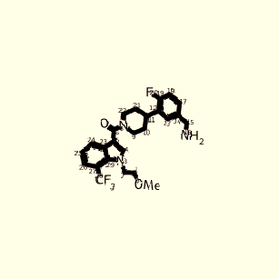 COCCn1cc(C(=O)N2CCC(c3cc(CN)ccc3F)CC2)c2cccc(C(F)(F)F)c21